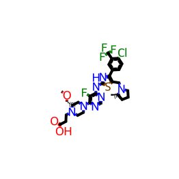 COC[C@@H]1CN(c2ncnc(Nc3nc(-c4ccc(Cl)c(C(F)(F)F)c4)c(CN4CCC[C@H]4C)s3)c2F)CCN1CCC(=O)O